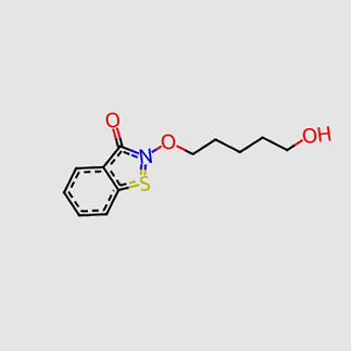 O=c1c2ccccc2sn1OCCCCCO